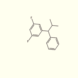 CC(C)C(c1ccccc1)c1cc(F)cc(F)c1